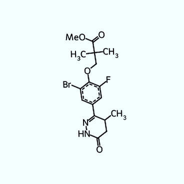 COC(=O)C(C)(C)COc1c(F)cc(C2=NNC(=O)CC2C)cc1Br